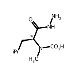 CC(C)C[C@@H](C(=O)NN)N(C)C(=O)O